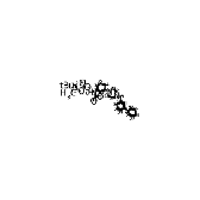 CC(CC(C)(C)C)OC(=O)OCn1c(=O)oc2c(N3CCN(Cc4cccc(-c5ccccc5)c4)CC3)cccc21